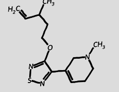 C=CC(C)CCOc1nsnc1C1=CCCN(C)C1